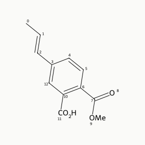 CC=Cc1ccc(C(=O)OC)c(C(=O)O)c1